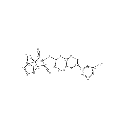 CCCCOC(CN1CCN(c2cccc(Cl)c2)CC1)CN1C(=O)C2C3C=C[C@@H](C3)[C@@H]2C1=O